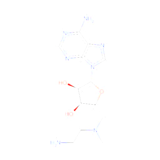 CN(CCN)C[C@H]1O[C@@H](n2cnc3c(N)ncnc32)[C@H](O)[C@@H]1O